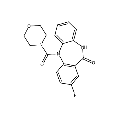 O=C1Nc2ccccc2N(C(=O)N2CCOCC2)c2ccc(F)cc21